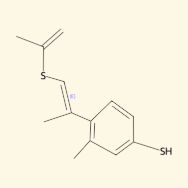 C=C(C)S/C=C(\C)c1ccc(S)cc1C